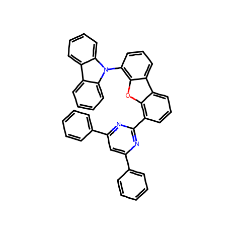 c1ccc(-c2cc(-c3ccccc3)nc(-c3cccc4c3oc3c(-n5c6ccccc6c6ccccc65)cccc34)n2)cc1